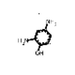 Nc1c[c]c(O)c(N)c1